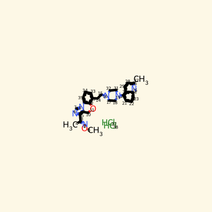 CON=C(C)c1ncn2c1COc1c(CCN3CCN(c4cccc5nc(C)ccc45)CC3)cccc1-2.Cl.Cl